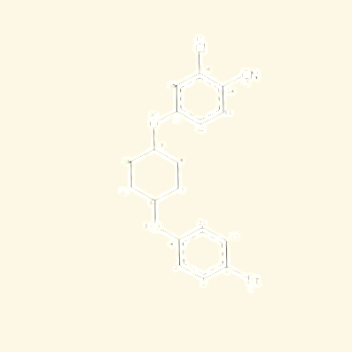 CCc1ccc(OC2CCC(Oc3ccc(C#N)c(Cl)c3)CC2)cc1